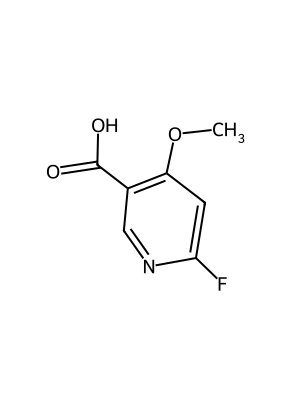 COc1cc(F)ncc1C(=O)O